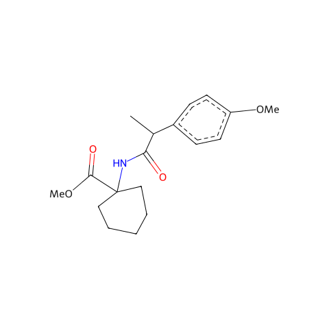 COC(=O)C1(NC(=O)C(C)c2ccc(OC)cc2)CCCCC1